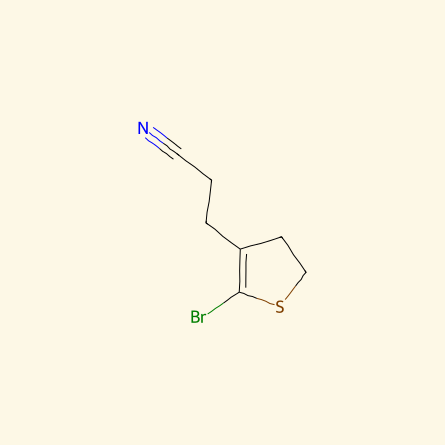 N#CCCC1=C(Br)SCC1